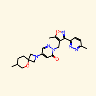 Cc1ccc(-c2noc(C)c2Cn2ncc(N3CC4(CCC(C)CO4)C3)cc2=O)nn1